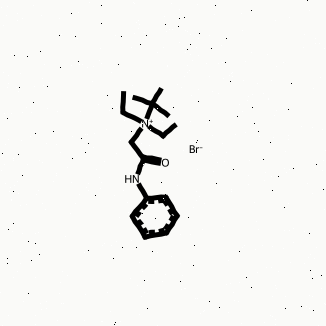 CC[N+](CC)(CC(=O)Nc1ccccc1)C(C)(C)C.[Br-]